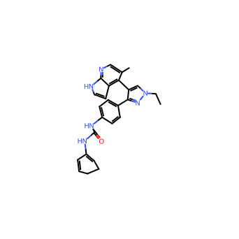 CCn1cc(-c2c(C)cnc3[nH]ccc23)c(-c2ccc(NC(=O)NC3=CCCC=C3)cc2)n1